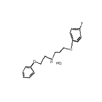 Cl.Fc1ccc(OCCCNCCOc2ccccc2)cc1